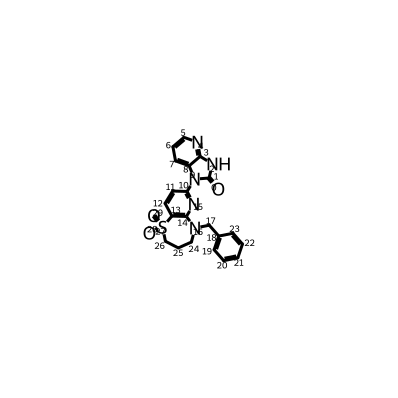 O=c1[nH]c2ncccc2n1-c1ccc2c(n1)N(Cc1ccccc1)CCCS2(=O)=O